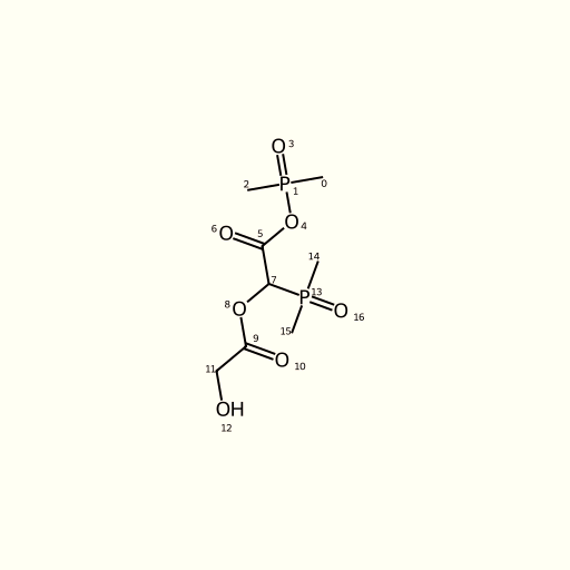 CP(C)(=O)OC(=O)C(OC(=O)CO)P(C)(C)=O